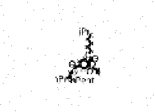 C=CC(=O)OC1(C(=O)OCCCCCC(C)C)CCC(C(=O)OCC(CCC)CCCCC)CC1